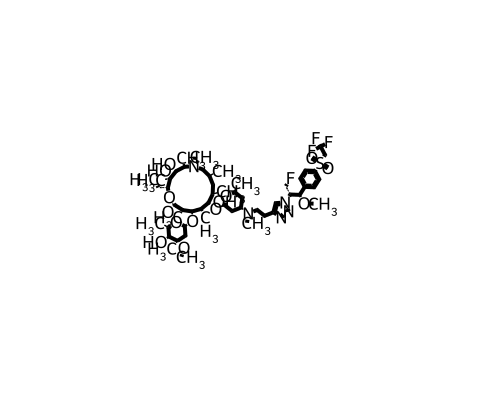 CC[C@H]1OC(=O)[C@H](C)[C@@H](O[C@H]2C[C@@](C)(OC)[C@@H](O)[C@H](C)O2)[C@H](C)[C@@H](O[C@H]2C[C@@H](N(C)CCc3cn([C@H](CF)[C@H](OC)c4ccc(S(=O)(=O)CC(F)(F)F)cc4)nn3)C[C@@H](C)O2)[C@](C)(O)C[C@@H](C)CN(C)[C@H](C)[C@@H](O)[C@]1(C)O